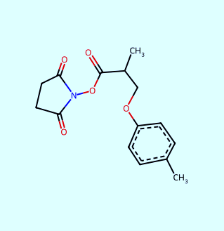 Cc1ccc(OCC(C)C(=O)ON2C(=O)CCC2=O)cc1